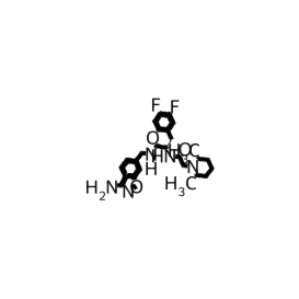 C[C@@H]1CCC[C@H](C)N1CC(=O)N[C@@H](Cc1ccc(F)c(F)c1)C(=O)NCc1ccc2c(N)noc2c1